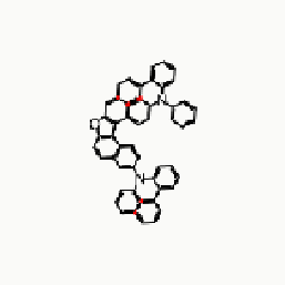 c1ccc(-c2ccccc2N(c2ccccc2)c2ccc3c(ccc4oc5ccc6cc(N(c7ccccc7)c7ccccc7-c7ccccc7)ccc6c5c43)c2)cc1